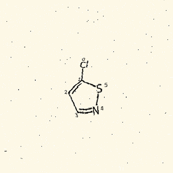 Clc1ccns1